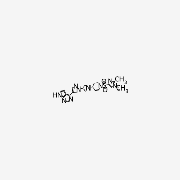 Cc1nc(S(=O)(=O)N2CCC(N3CC(n4cc(-c5ncnc6[nH]ccc56)cn4)C3)CC2)cn1C